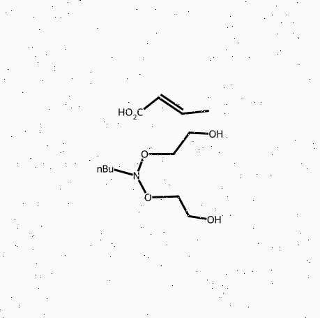 CC=CC(=O)O.CCCCN(OCCO)OCCO